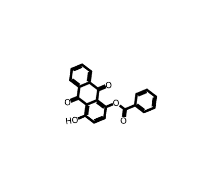 O=C(Oc1ccc(O)c2c1C(=O)c1ccccc1C2=O)c1ccccc1